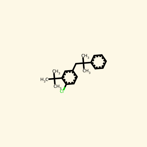 CC(C)(C)c1cc(CC(C)(C)c2ccccc2)ccc1Cl